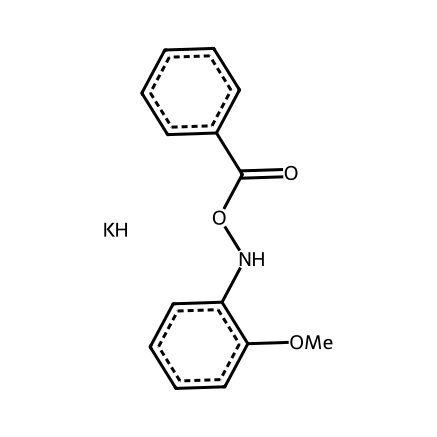 COc1ccccc1NOC(=O)c1ccccc1.[KH]